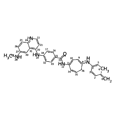 C=C/C=C\C(=C/C)NC1=CC=C(NC(=O)c2ccc(Nc3ccnc4ccc(NC)cc34)cc2)C=CC1